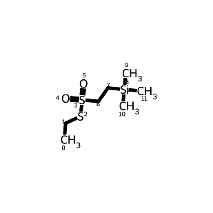 CCSS(=O)(=O)CC[Si](C)(C)C